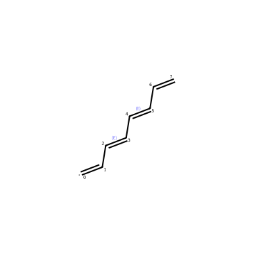 [CH]=C/C=C/C=C/C=C